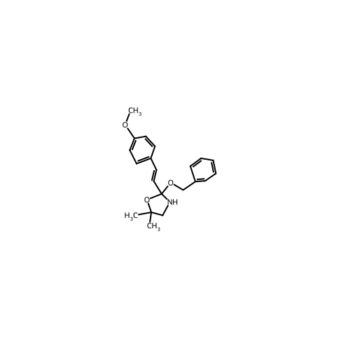 COc1ccc(C=CC2(OCc3ccccc3)NCC(C)(C)O2)cc1